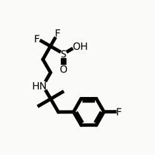 CC(C)(Cc1ccc(F)cc1)NCCC(F)(F)S(=O)O